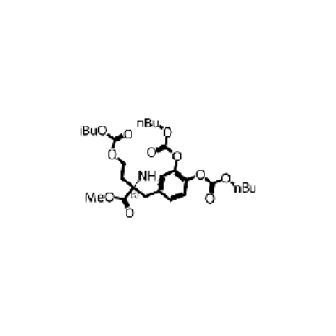 CCCCOC(=O)Oc1ccc(C[C@](N)(CCOC(=O)OCC(C)C)C(=O)OC)cc1OC(=O)OCCCC